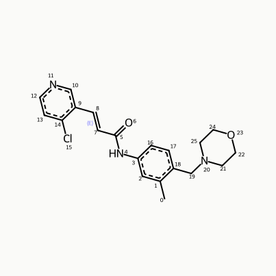 Cc1cc(NC(=O)/C=C/c2cnccc2Cl)ccc1CN1CCOCC1